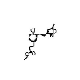 CCOC(=O)CCc1ccc(Cl)c(C=Cc2cc(C)on2)c1